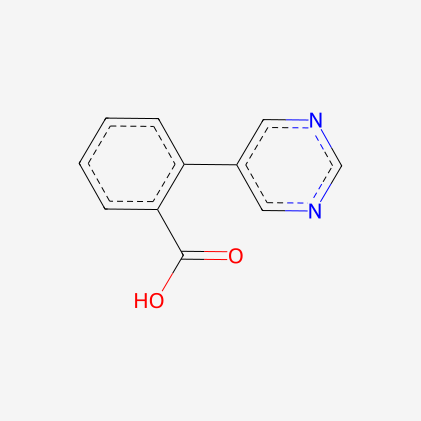 O=C(O)c1ccccc1-c1cncnc1